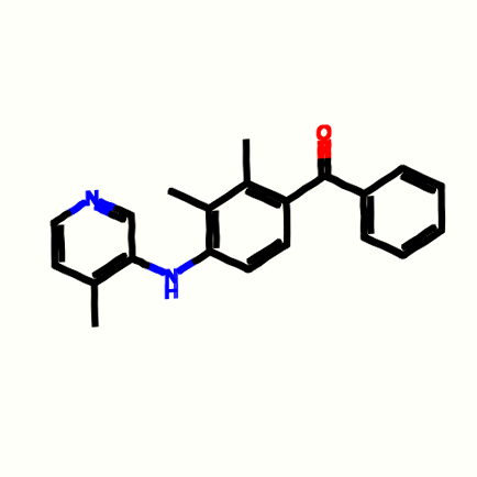 Cc1ccncc1Nc1ccc(C(=O)c2ccccc2)c(C)c1C